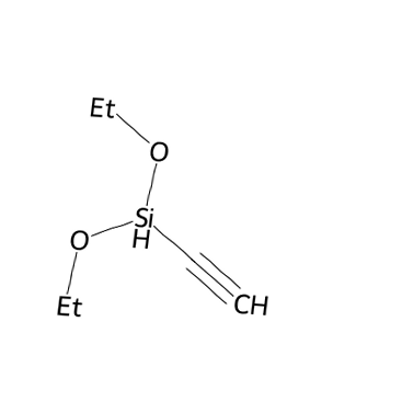 C#C[SiH](OCC)OCC